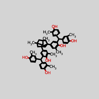 Cc1cc(C(c2ccc(O)c(C)c2)c2cc(C34CC5(C)CC(C)(C3)CC(c3cc(C)c(O)c(C(c6ccc(O)c(C)c6)c6ccc(O)c(C)c6)c3)(C5)C4)cc(C)c2O)ccc1O